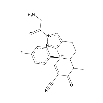 CC1C(=O)C(C#N)=C[C@]2(c3ccc(F)cc3)c3nn(C(=O)CN)cc3CCC12